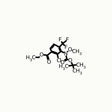 CCOC(=O)c1ccc(C(F)(F)F)c(N(OC)C(=O)OC(C)(C)C)c1Cl